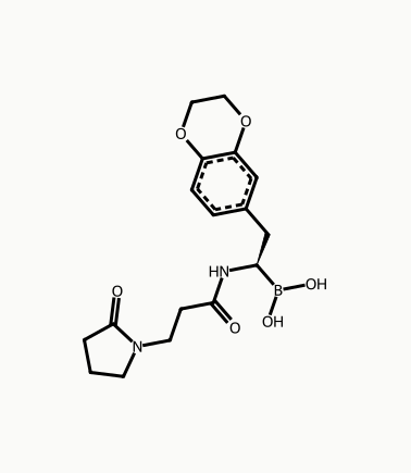 O=C(CCN1CCCC1=O)N[C@@H](Cc1ccc2c(c1)OCCO2)B(O)O